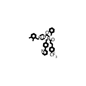 Cc1cccc(CN2CCN(C(=O)[C@H](Cc3ccccc3)N(Cc3ccc(-c4ccccn4)cc3)C(=O)/C=C/c3ccc(C(F)(F)F)cc3)CC2)c1C